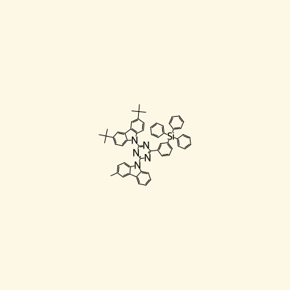 Cc1ccc2c(c1)c1ccccc1n2-c1nc(-c2cccc([Si](c3ccccc3)(c3ccccc3)c3ccccc3)c2)nc(-n2c3ccc(C(C)(C)C)cc3c3cc(C(C)(C)C)ccc32)n1